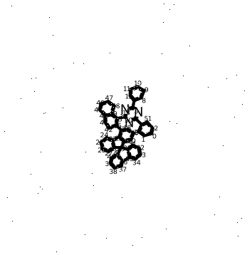 c1ccc(-c2nc(-c3ccccc3)nc(-c3c(-c4cccc5c4-c4ccccc4C54c5ccccc5-c5ccccc54)ccc4ccccc34)n2)cc1